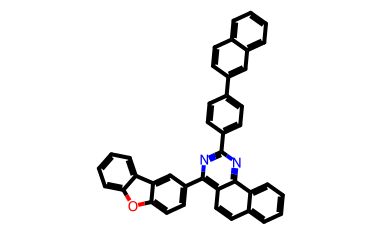 c1ccc2cc(-c3ccc(-c4nc(-c5ccc6oc7ccccc7c6c5)c5ccc6ccccc6c5n4)cc3)ccc2c1